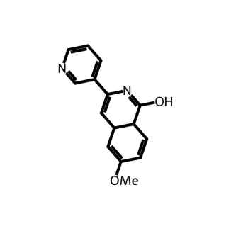 COC1=CC2C=C(c3cccnc3)N=C(O)C2C=C1